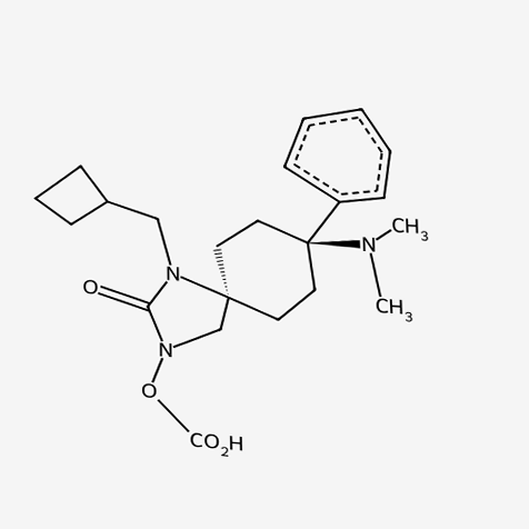 CN(C)[C@]1(c2ccccc2)CC[C@]2(CC1)CN(OC(=O)O)C(=O)N2CC1CCC1